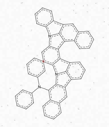 c1ccc(N(c2ccccc2)c2c3ccccc3cc3c4cccc5c6c7c8c9ccccc9cc9c%10ccccc%10n(c7ccc6n(c23)c45)c98)cc1